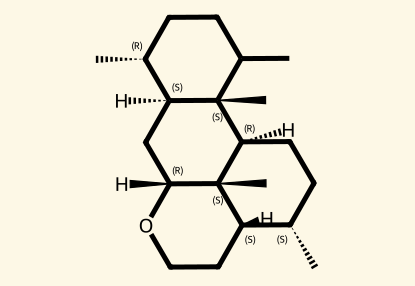 CC1CC[C@@H](C)[C@@H]2C[C@H]3OCC[C@H]4[C@@H](C)CC[C@H]([C@@]12C)[C@@]34C